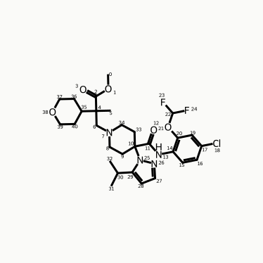 COC(=O)C(C)(CN1CCC(C(=O)Nc2ccc(Cl)cc2OC(F)F)(n2nccc2C(C)C)CC1)C1CCOCC1